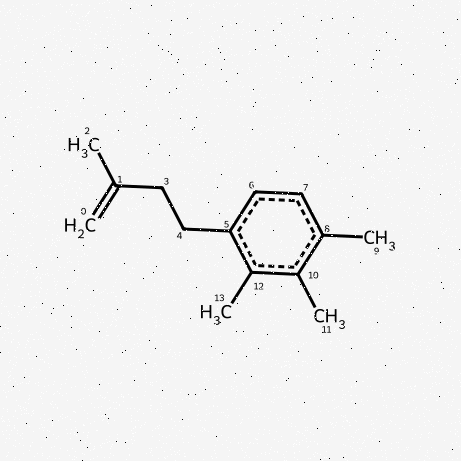 C=C(C)CCc1ccc(C)c(C)c1C